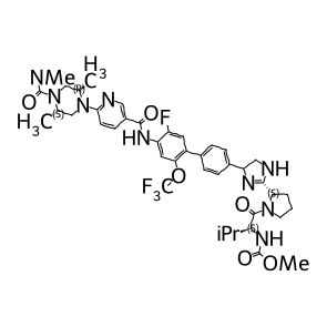 CNC(=O)N1C[C@@H](C)N(c2ccc(C(=O)Nc3cc(OC(F)(F)F)c(-c4ccc(C5CNC([C@@H]6CCCN6C(=O)[C@@H](NC(=O)OC)C(C)C)=N5)cc4)cc3F)cn2)C[C@@H]1C